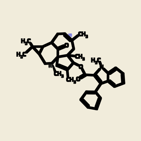 CC1=CC23C(=O)C(C/C=C(/C)CC2(C)C1OC(=O)c1c(-c2ccccc2)c2ccccc2n1C)C1C(C[C@H]3C)C1(C)C